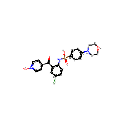 O=C(c1cc[n+](O)cc1)c1cc(Cl)ccc1NS(=O)(=O)c1ccc(N2CCOCC2)cc1